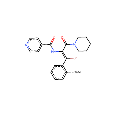 COc1ccccc1C(Br)=C(NC(=O)c1ccncc1)C(=O)N1CCCCC1